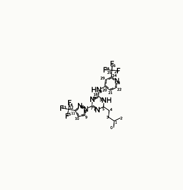 CC(C)CCC1N=C(n2ccc(C(F)(F)F)n2)N=C(Nc2ccnc(C(F)(F)F)c2)N1